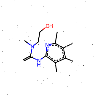 C=C(Nc1nc(C)c(C)c(C)c1C)N(C)CCO